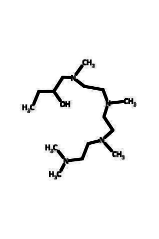 CCC(O)CN(C)CCN(C)CCN(C)CCN(C)C